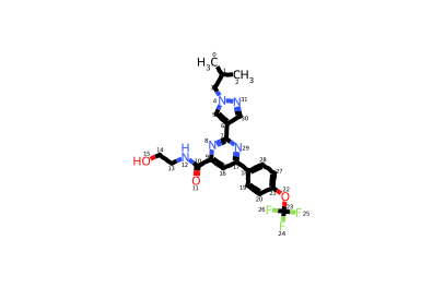 CC(C)Cn1cc(-c2nc(C(=O)NCCO)cc(-c3ccc(OC(F)(F)F)cc3)n2)cn1